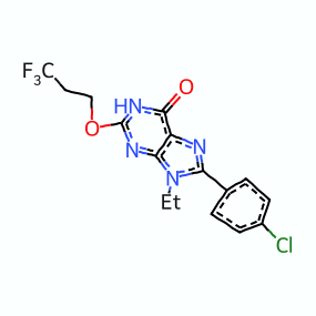 CCn1c(-c2ccc(Cl)cc2)nc2c(=O)[nH]c(OCCC(F)(F)F)nc21